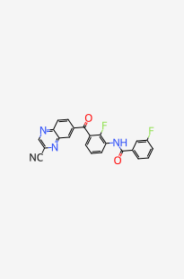 N#Cc1cnc2ccc(C(=O)c3cccc(NC(=O)c4cccc(F)c4)c3F)cc2n1